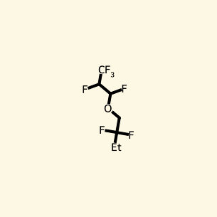 CCC(F)(F)COC(F)C(F)C(F)(F)F